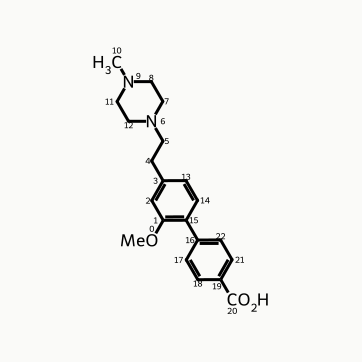 COc1cc(CCN2CCN(C)CC2)ccc1-c1ccc(C(=O)O)cc1